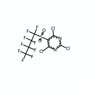 O=S(=O)(c1c(Cl)nc(Cl)nc1Cl)C(F)(F)C(F)(F)C(F)(F)C(F)(F)F